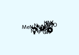 CNc1nc(C)nc2c1ncn2[C@@H]1O[C@](CCl)(COP(=S)(N[C@@H](C)C(=O)OC)Oc2ccccc2)[C@@H](O)[C@@H]1F